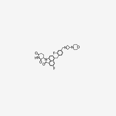 O=C1CCC(N2C(=O)c3cc(F)cc4c(Cc5ccc(CN6CC(N7CCOCC7)C6)cc5F)ccc2c34)C(=O)N1